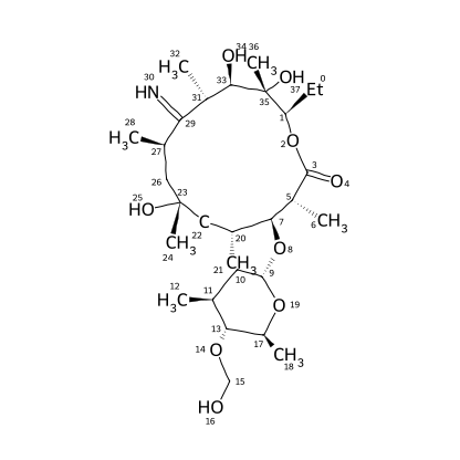 CC[C@H]1OC(=O)[C@H](C)[C@@H](O[C@H]2C[C@H](C)[C@@H](OCO)[C@H](C)O2)[C@H](C)C[C@](C)(O)C[C@@H](C)C(=N)[C@H](C)[C@@H](O)[C@]1(C)O